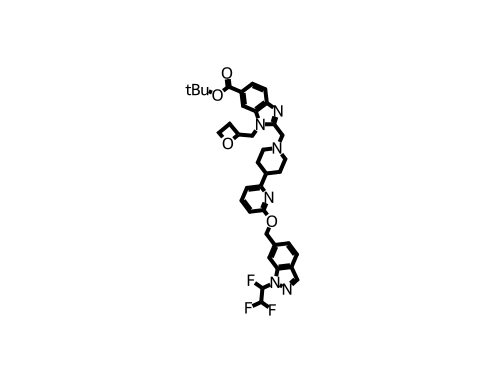 CC(C)(C)OC(=O)c1ccc2nc(CN3CCC(c4cccc(OCc5ccc6cnn(C(F)C(F)F)c6c5)n4)CC3)n(CC3CCO3)c2c1